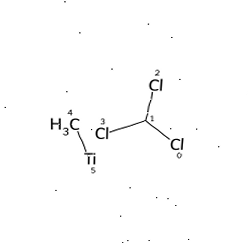 ClC(Cl)Cl.[CH3][Ti]